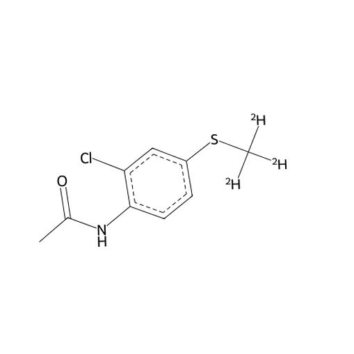 [2H]C([2H])([2H])Sc1ccc(NC(C)=O)c(Cl)c1